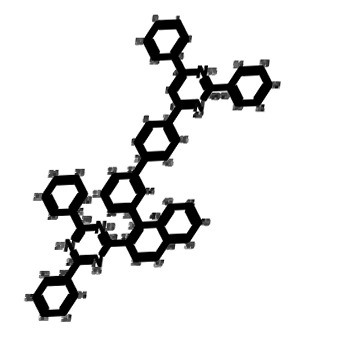 c1ccc(-c2cc(-c3ccc(-c4cccc(-c5c(-c6nc(-c7ccccc7)nc(-c7ccccc7)n6)ccc6ccccc56)c4)cc3)nc(-c3ccccc3)n2)cc1